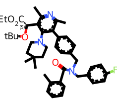 CCOC(=O)[C@@H](OC(C)(C)C)c1c(C)nc(C)c(-c2ccc(CN(Cc3ccc(F)cc3)C(=O)c3ccccc3C)cc2)c1N1CCC(C)(C)CC1